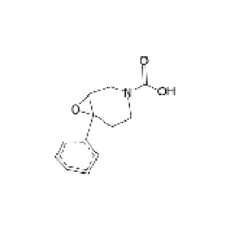 O=C(O)N1CCC2(c3ccccc3)OC2C1